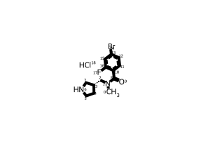 CN(C[C@@H]1CCNC1)C(=O)c1ccc(Br)cc1F.Cl